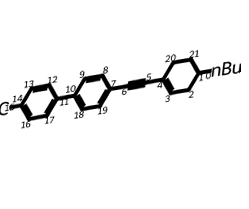 CCCCC1CC=C(C#Cc2ccc(-c3ccc(C#N)cc3)cc2)CC1